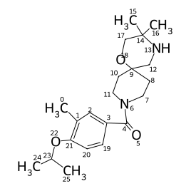 Cc1cc(C(=O)N2CCC3(CC2)CNC(C)(C)CO3)ccc1OC(C)C